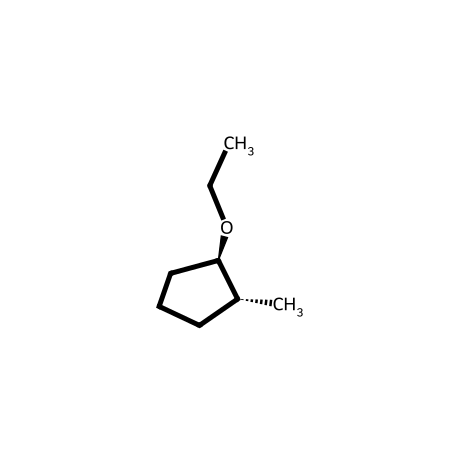 CCO[C@@H]1CCC[C@H]1C